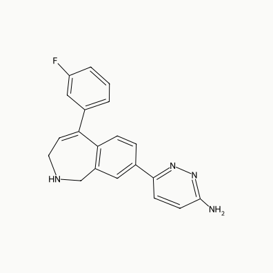 Nc1ccc(-c2ccc3c(c2)CNCC=C3c2cccc(F)c2)nn1